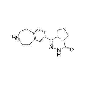 O=C1NN=C(c2ccc3c(c2)CCNCC3)C2CCCC12